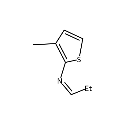 CC/C=N\c1sccc1C